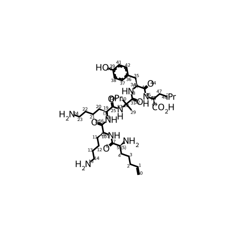 C=CCCC[C@H](N)C(=O)N[C@@H](CCCCN)C(=O)N[C@@H](CCCCN)C(=O)NC(C)(CCC)C(=O)N[C@@H](Cc1ccc(O)cc1)C(=O)N[C@@H](CC(C)C)C(=O)O